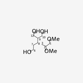 COCC(C)OC.OCCCC(CO)CO